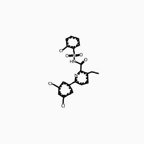 CCc1ccc(-c2cc(Cl)cc(Cl)c2)nc1C(=O)NS(=O)(=O)c1ccccc1Cl